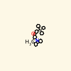 Cc1cccc2c3ccccc3n(-c3ccc4oc5ccc([Si](c6ccccc6)(c6ccccc6)c6ccccc6)cc5c4c3)c12